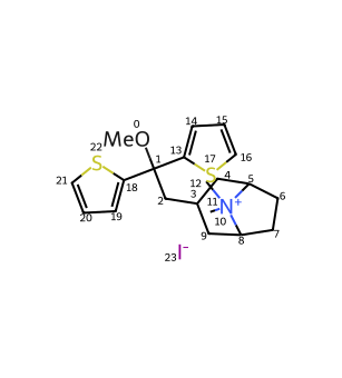 COC(CC1CC2CCC(C1)[N+]2(C)C)(c1cccs1)c1cccs1.[I-]